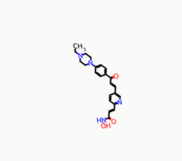 CCN1CCN(c2ccc(C(=O)C=Cc3ccc(C=CC(=O)NO)nc3)cc2)CC1